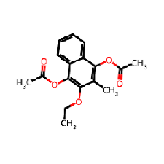 CCOc1c(C)c(OC(C)=O)c2ccccc2c1OC(C)=O